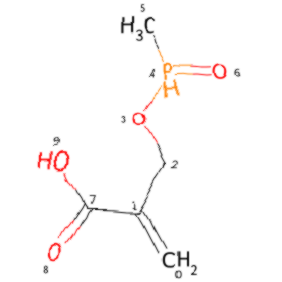 C=C(CO[PH](C)=O)C(=O)O